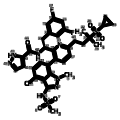 Cn1nc(NS(C)(=O)=O)c2c(Cl)ccc(-c3ccc(CCC(C)(C)S(=O)(=O)C4CC4)nc3[C@H](Cc3cc(F)cc(F)c3)NC(=O)c3ccn[nH]3)c21